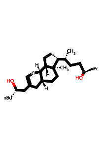 CCCC[C@H](O)CC1=CC[C@@H]2[C@H](CC[C@]3(C)[C@@H]([C@H](C)CC[C@H](O)C(C)C)CC[C@@H]23)C1